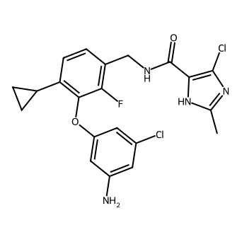 Cc1nc(Cl)c(C(=O)NCc2ccc(C3CC3)c(Oc3cc(N)cc(Cl)c3)c2F)[nH]1